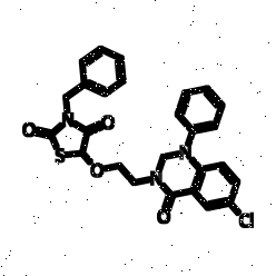 O=C1c2cc(Cl)ccc2N(c2ccccc2)CN1CCOC1SC(=O)N(Cc2ccccc2)C1=O